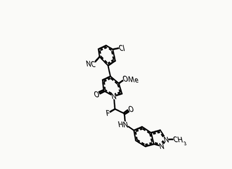 COc1cn(C(F)C(=O)Nc2ccc3nn(C)cc3c2)c(=O)cc1-c1cc(Cl)ccc1C#N